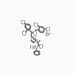 CC(C(=O)Nc1ccccc1)n1cc[n+](CC(OCc2ccc(Cl)cc2Cl)c2ccc(Cl)cc2Cl)c1.[Br-]